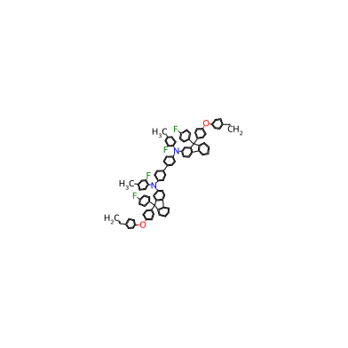 C=Cc1ccc(Oc2ccc(C3(c4ccc(F)cc4)c4ccccc4-c4ccc(N(c5ccc(-c6ccc(N(c7ccc8c(c7)C(c7ccc(F)cc7)(c7ccc(Oc9ccc(C=C)cc9)cc7)c7ccccc7-8)c7ccc(C)cc7F)cc6)cc5)c5ccc(C)cc5F)cc43)cc2)cc1